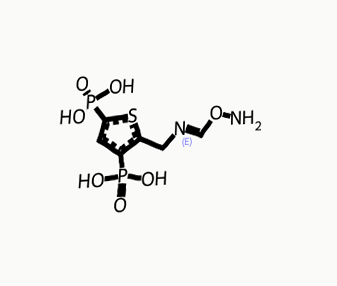 NO/C=N/Cc1sc(P(=O)(O)O)cc1P(=O)(O)O